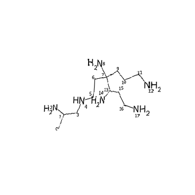 CC(N)CNCCC(N)(CCCN)C(N)CCN